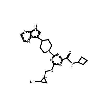 N#CC1C[C@@H]1COc1nc(C(=O)NC2CCC2)nc(N2CCC(c3c[nH]c4nccnc34)CC2)n1